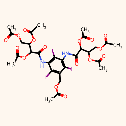 CC(=O)OCc1c(I)c(NC(=O)C(OC(C)=O)C(COC(C)=O)OC(C)=O)c(I)c(NC(=O)C(OC(C)=O)C(COC(C)=O)OC(C)=O)c1I